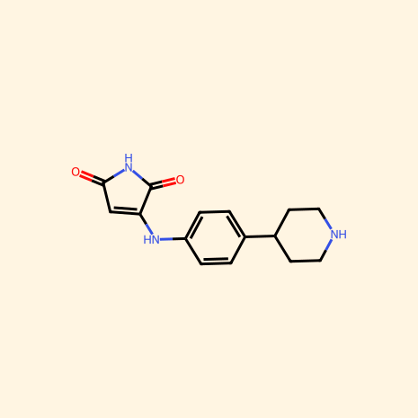 O=C1C=C(Nc2ccc(C3CCNCC3)cc2)C(=O)N1